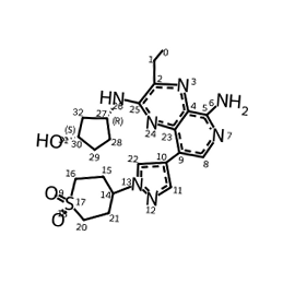 CCc1nc2c(N)ncc(-c3cnn(C4CCS(=O)(=O)CC4)c3)c2nc1N[C@@H]1CC[C@H](O)C1